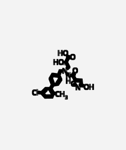 Cc1ccc(Cl)cc1-c1ccc(CN(C[C@@H](O)C(=O)O)NC(=O)c2cc(O)no2)cc1